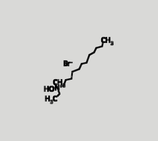 CCCCCCCCCCCC[N+](C)(O)CC.[Br-]